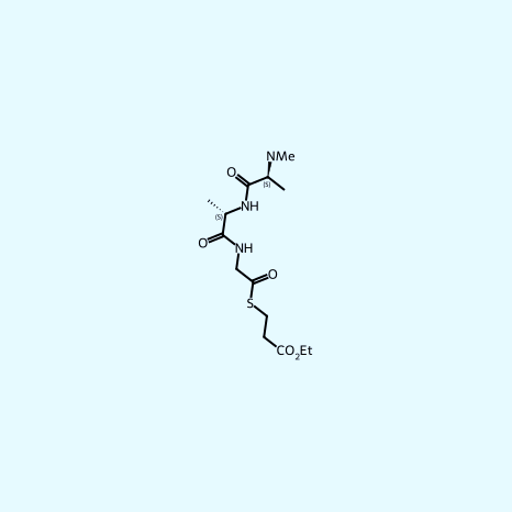 CCOC(=O)CCSC(=O)CNC(=O)[C@H](C)NC(=O)[C@H](C)NC